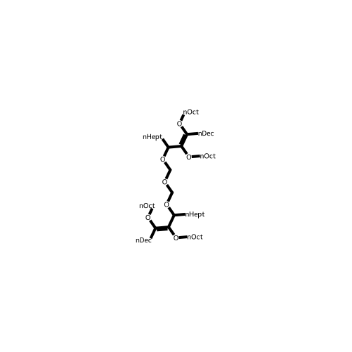 CCCCCCCCCCC(OCCCCCCCC)=C(OCCCCCCCC)C(CCCCCCC)OCOCOC(CCCCCCC)C(OCCCCCCCC)=C(CCCCCCCCCC)OCCCCCCCC